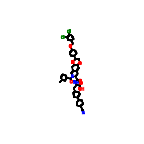 Cc1cccc(C(=O)N2C=C3CC4=C(C=C3C[C@H]2C(=O)NC(Cc2ccc(-c3ccc(C#N)cc3)cc2)C(=O)O)OC[C@H](c2ccc(OCc3ccc(Cl)c(Cl)c3)cc2)O4)c1